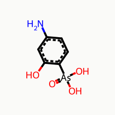 Nc1ccc([As](=O)(O)O)c(O)c1